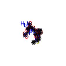 CC[C@H](C)[C@@H]([C@@H](CC(=O)N1CCC[C@H]1[C@H](OC)[C@@H](C)C(=S)NCCc1ccccc1)OC)N(C)C(=O)[C@@H](NC(=O)[C@H](C(C)C)N(C)C(=O)OCc1ccc(NC(=O)[C@H](CCCNC(N)=O)NC(=O)[C@@H](NC(=O)CCCCCN2C(=O)C=CC2=O)C(C)C)cc1)C(C)C